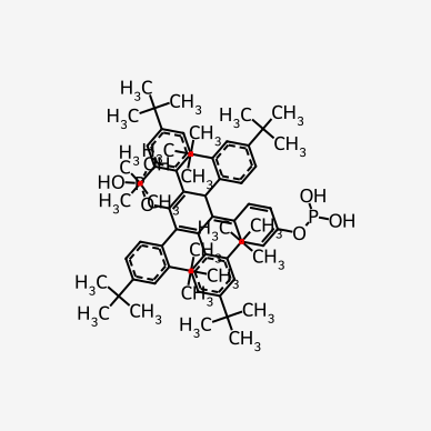 CC(C)(C)c1ccc(C2=C(c3ccc(C(C)(C)C)cc3C(C)(C)C)C(=C3C=CC(OP(O)O)=CC3)C(c3ccc(C(C)(C)C)cc3C(C)(C)C)C(c3ccc(C(C)(C)C)cc3C(C)(C)C)=C2OP(O)O)c(C(C)(C)C)c1